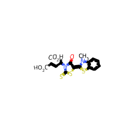 CN1C(=C2SC(=S)N(C(CCC(=O)O)C(=O)O)C2=O)Sc2ccccc21